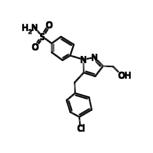 NS(=O)(=O)c1ccc(-n2nc(CO)cc2Cc2ccc(Cl)cc2)cc1